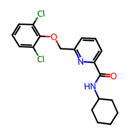 O=C(NC1CCCCC1)c1cccc(COc2c(Cl)cccc2Cl)n1